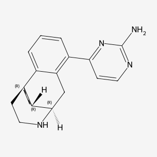 Nc1nccc(-c2cccc3c2C[C@H]2NCC[C@@]34CCCC[C@@H]24)n1